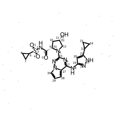 O=C(NS(=O)(=O)C1CC1)[C@@H]1C[C@H](O)CN1c1nc(Nc2cc(C3CC3)[nH]n2)c2cccn2n1